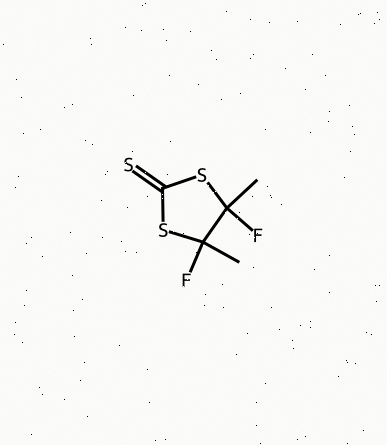 CC1(F)SC(=S)SC1(C)F